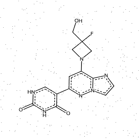 O=c1[nH]cc(-c2cc(N3CC(F)(CO)C3)c3nccn3n2)c(=O)[nH]1